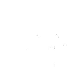 Cc1cc(CN(C(=O)NCCO)c2ccccc2)n(C)c1C(=O)c1ccc(Cl)cc1